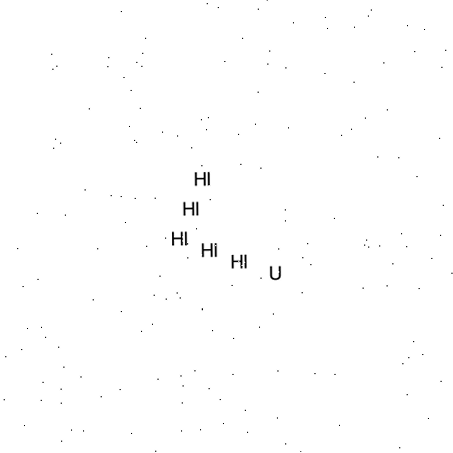 I.I.I.I.I.[U]